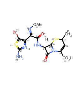 CO/N=C(\C(=O)NC1C(=O)N2C(C(=O)O)=CC(C)S[C@H]12)c1nc(N)sc1Br